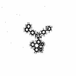 c1ccc(-c2ccc(-c3nc(-c4ccc(-c5cccc6ccccc56)cc4)nc(-c4ccc5c(c4)-c4ccccc4-c4ccccc4C54c5ccccc5-c5ccccc54)n3)cc2)nc1